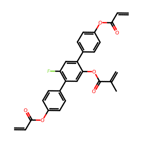 C=CC(=O)Oc1ccc(-c2cc(OC(=O)C(=C)C)c(-c3ccc(OC(=O)C=C)cc3)cc2F)cc1